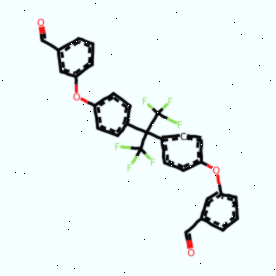 O=Cc1cccc(Oc2ccc(C(c3ccc(Oc4cccc(C=O)c4)cc3)(C(F)(F)F)C(F)(F)F)cc2)c1